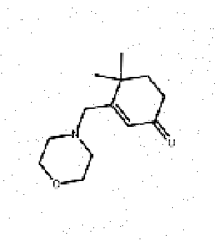 CC1(C)CCC(=O)C=C1CN1CCOCC1